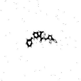 Cc1sc2ccc(OCc3ccccc3)cc2c1C(=O)NCC1CCC(=O)N1